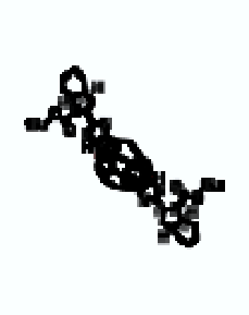 CC(C)(C)OC(=O)N1C(c2nc3cc(-c4cc5ccc4CCc4ccc(c(-c6ccc7[nH]c([C@@H]8C[C@@H]9CCCC[C@@H]9N8C(=O)OC(C)(C)C)nc7c6)c4)CC5)ccc3[nH]2)C[C@@H]2CCCC[C@@H]21